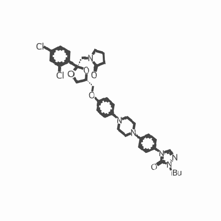 CCC(C)n1ncn(-c2ccc(N3CCN(c4ccc(OC[C@@H]5CO[C@@](CN6CCCC6=O)(c6ccc(Cl)cc6Cl)O5)cc4)CC3)cc2)c1=O